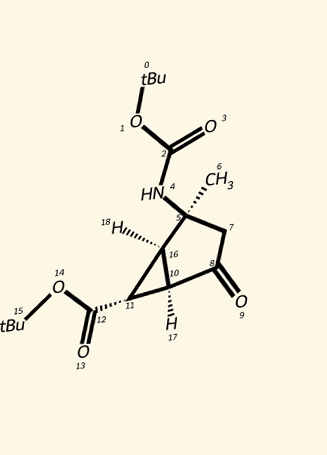 CC(C)(C)OC(=O)N[C@@]1(C)CC(=O)[C@H]2[C@H](C(=O)OC(C)(C)C)[C@H]21